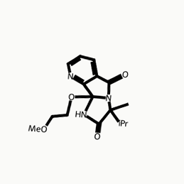 COCCOC12NC(=O)C(C)(C(C)C)N1C(=O)c1cccnc12